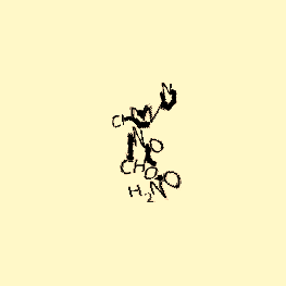 C#CCN(C(=O)CCOC(N)=O)c1cn(-c2cccnc2)nc1Cl